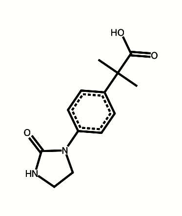 CC(C)(C(=O)O)c1ccc(N2CCNC2=O)cc1